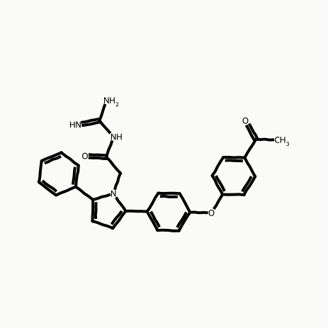 CC(=O)c1ccc(Oc2ccc(-c3ccc(-c4ccccc4)n3CC(=O)NC(=N)N)cc2)cc1